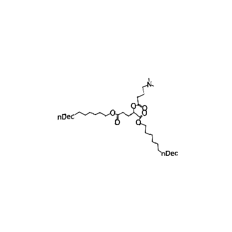 CCCCCCCCCCCCCCCCOC(=O)CCC(OC(=O)CCCN(C)C)C(=O)OCCCCCCCCCCCCCCCC